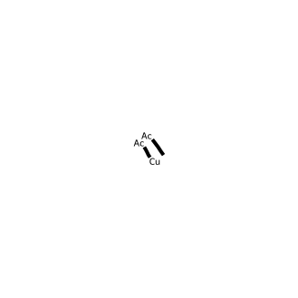 CC(C)=O.C[C](=O)[Cu]